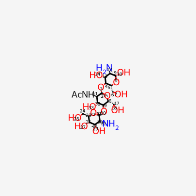 CC(=O)N[C@H]1[C@H](OC2[C@@H](CO)O[C@@H](O)[C@H](N)[C@H]2O)O[C@H](CO)C(O[C@@H]2O[C@H](CO)[C@@H](O)[C@H](O)[C@H]2N)[C@@H]1O